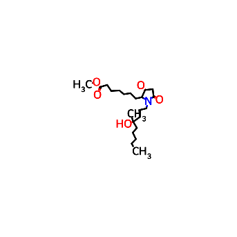 CCCCCC(C)(O)CCCN1C(=O)CC(=O)C1CCCCCCC(=O)OC